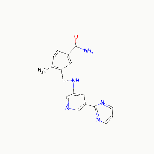 Cc1ccc(C(N)=O)cc1CNc1cncc(-c2ncccn2)c1